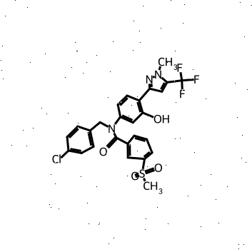 Cn1nc(-c2ccc(N(Cc3ccc(Cl)cc3)C(=O)c3cccc(S(C)(=O)=O)c3)cc2O)cc1C(F)(F)F